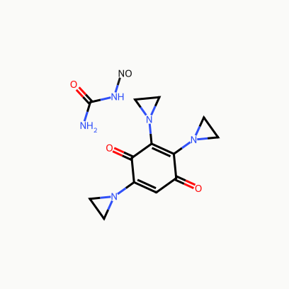 NC(=O)NN=O.O=C1C=C(N2CC2)C(=O)C(N2CC2)=C1N1CC1